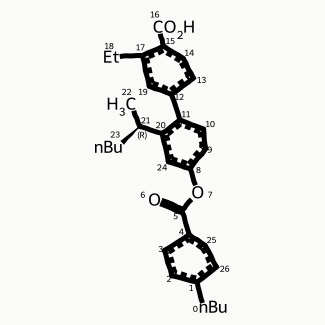 CCCCc1ccc(C(=O)Oc2ccc(-c3ccc(C(=O)O)c(CC)c3)c([C@H](C)CCCC)c2)cc1